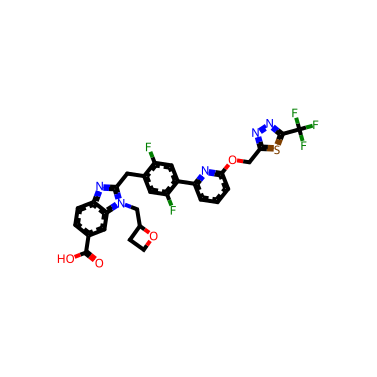 O=C(O)c1ccc2nc(Cc3cc(F)c(-c4cccc(OCc5nnc(C(F)(F)F)s5)n4)cc3F)n(CC3CCO3)c2c1